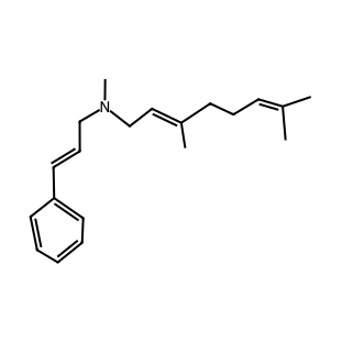 CC(C)=CCC/C(C)=C/CN(C)C/C=C/c1ccccc1